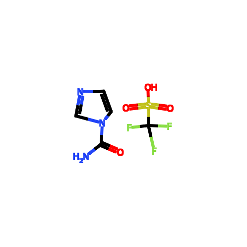 NC(=O)n1ccnc1.O=S(=O)(O)C(F)(F)F